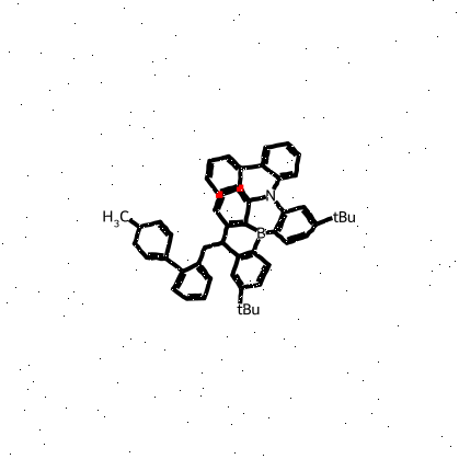 CC1C=CC(c2ccccc2CC2c3cc(C(C)(C)C)ccc3B3c4ccc(C(C)(C)C)cc4N(c4ccccc4-c4ccccc4)c4cccc2c43)=CC1